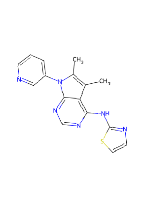 Cc1c(C)n(-c2cccnc2)c2ncnc(Nc3nccs3)c12